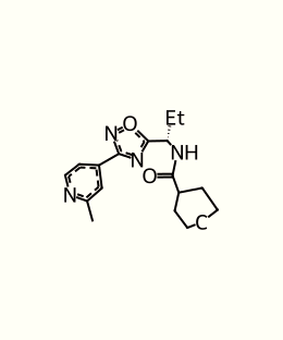 CC[C@H](NC(=O)C1CCCCC1)c1nc(-c2ccnc(C)c2)no1